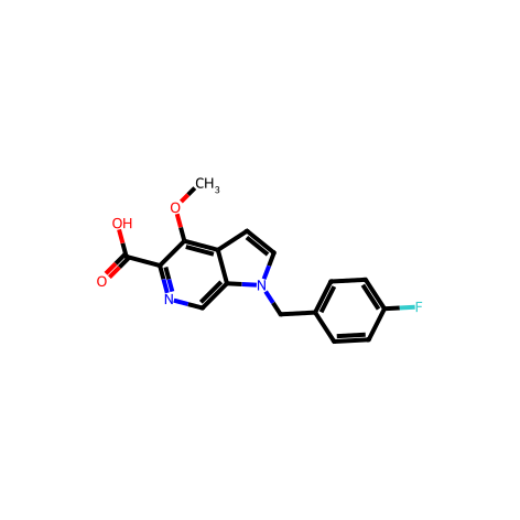 COc1c(C(=O)O)ncc2c1ccn2Cc1ccc(F)cc1